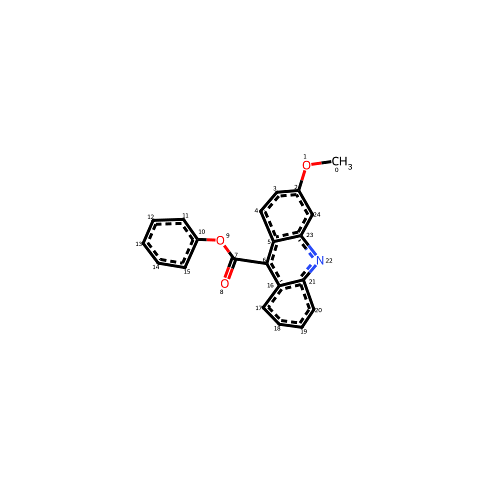 COc1ccc2c(C(=O)Oc3ccccc3)c3ccccc3nc2c1